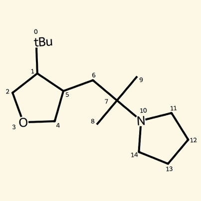 CC(C)(C)C1COCC1CC(C)(C)N1CCCC1